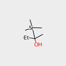 C[CH]C(C)(O)[Si](C)(C)C